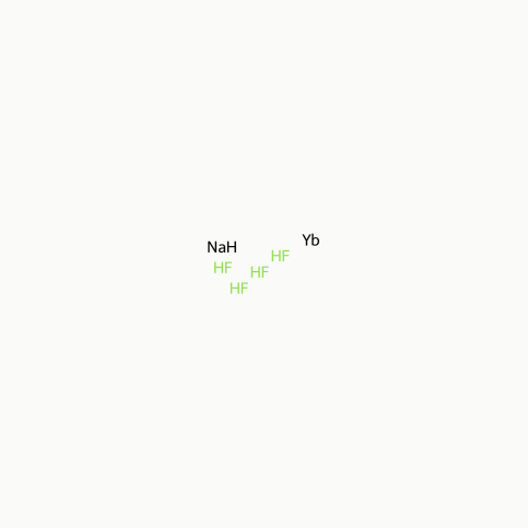 F.F.F.F.[NaH].[Yb]